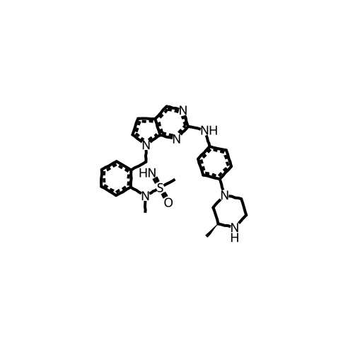 C[C@H]1CN(c2ccc(Nc3ncc4ccn(Cc5ccccc5N(C)S(C)(=N)=O)c4n3)cc2)CCN1